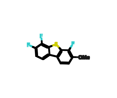 COc1ccc2c(sc3c(F)c(F)ccc32)c1F